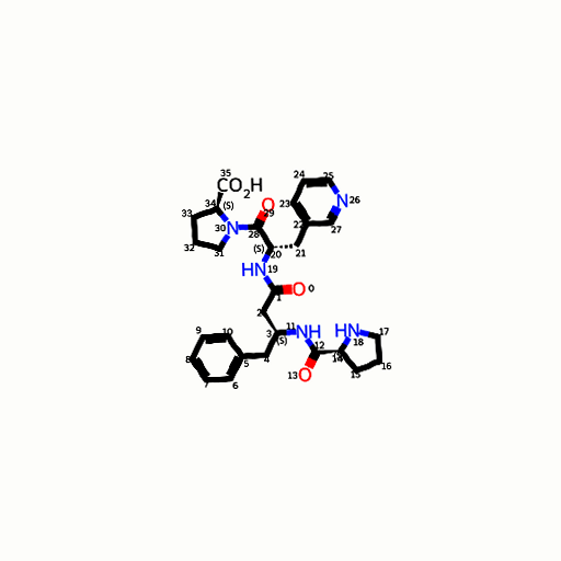 O=C(C[C@H](Cc1ccccc1)NC(=O)[C@@H]1CCCN1)N[C@@H](Cc1cccnc1)C(=O)N1CCC[C@H]1C(=O)O